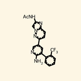 CC(=O)Nc1cn2nc(-c3cnc(N)c(-c4ccccc4C(F)(F)F)c3)ccc2n1